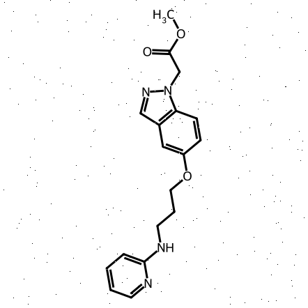 COC(=O)Cn1ncc2cc(OCCCNc3ccccn3)ccc21